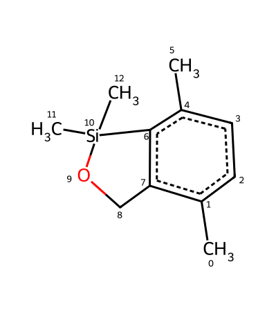 Cc1ccc(C)c2c1CO[Si]2(C)C